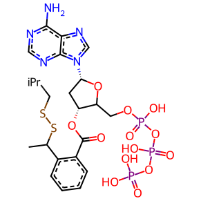 CC(C)CSSC(C)c1ccccc1C(=O)O[C@@H]1C[C@H](n2cnc3c(N)ncnc32)OC1COP(=O)(O)OP(=O)(O)OP(=O)(O)O